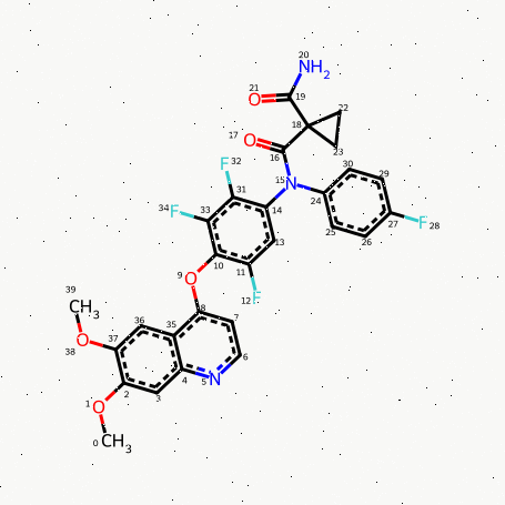 COc1cc2nccc(Oc3c(F)cc(N(C(=O)C4(C(N)=O)CC4)c4ccc(F)cc4)c(F)c3F)c2cc1OC